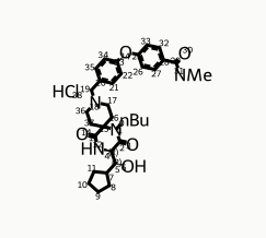 CCCCN1C(=O)[C@@H]([C@H](O)C2CCCC2)NC(=O)C12CCN(Cc1ccc(Oc3ccc(C(=O)NC)cc3)cc1)CC2.Cl